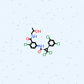 CC(O)CNC(=O)c1cc(NC(=O)[C@@H]2[C@@H](c3cc(Cl)cc(Cl)c3)C2(Cl)Cl)ccc1Cl